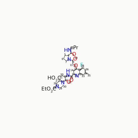 CCCNC(=O)C1CCCN1C(=O)COc1cc(C(=O)NC(CC(=O)O)C(=O)N2CCN(C(=O)OCC)CC2)nc2cc(C)cc(F)c12